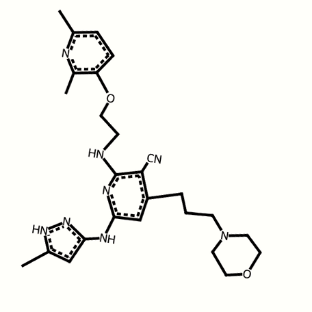 Cc1ccc(OCCNc2nc(Nc3cc(C)[nH]n3)cc(CCCN3CCOCC3)c2C#N)c(C)n1